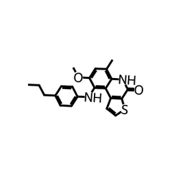 CCCc1ccc(Nc2c(OC)cc(C)c3[nH]c(=O)c4sccc4c23)cc1